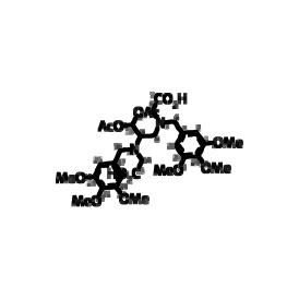 COc1cc(CN(CC(=O)O)CC(C(OC(C)=O)OC(C)=O)N(CC(=O)O)Cc2cc(OC)c(OC)c(OC)c2)cc(OC)c1OC